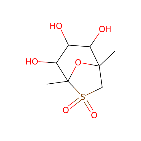 CC12CS(=O)(=O)C(C)(O1)C(O)C(O)C2O